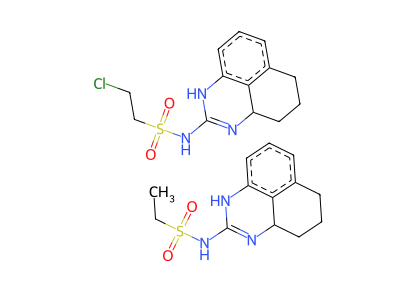 CCS(=O)(=O)NC1=NC2CCCc3cccc(c32)N1.O=S(=O)(CCCl)NC1=NC2CCCc3cccc(c32)N1